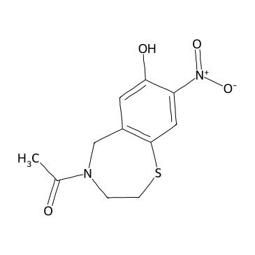 CC(=O)N1CCSc2cc([N+](=O)[O-])c(O)cc2C1